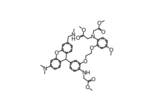 CNCc1ccc2c(c1)Oc1cc(N(C)C)ccc1C2c1ccc(NCC(=O)OC)c(OCCOc2cc(OC)ccc2N(CC(=O)OC)CC(=O)OC)c1